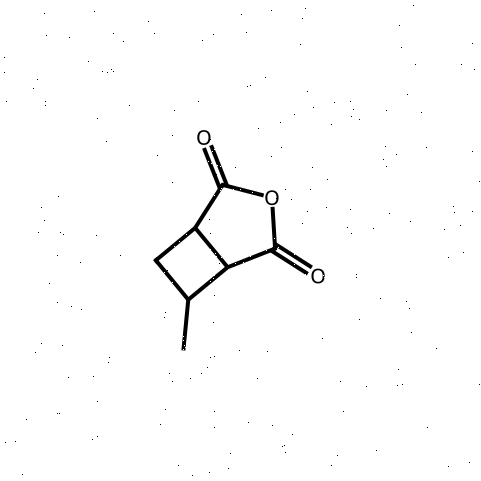 CC1CC2C(=O)OC(=O)C12